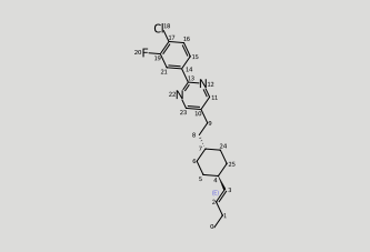 CC/C=C/[C@H]1CC[C@H](CCc2cnc(-c3ccc(Cl)c(F)c3)nc2)CC1